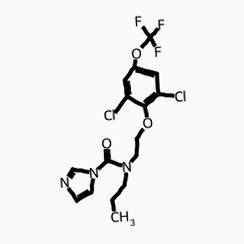 CCCN(CCOc1c(Cl)cc(OC(F)(F)F)cc1Cl)C(=O)n1ccnc1